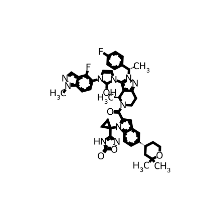 C[C@H]1c2c(nn([C@@H](C)c3ccc(F)cc3)c2N2C=CN(c3ccc4c(cnn4C)c3F)C2O)CCN1C(=O)c1cc2cc([C@@H]3CCOC(C)(C)C3)ccc2n1C1(c2noc(=O)[nH]2)CC1